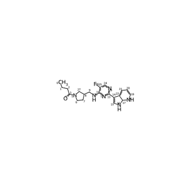 CCCC(=O)N1CCC(CNc2nc(C3=CNC4NC=CC=C34)ncc2F)C1